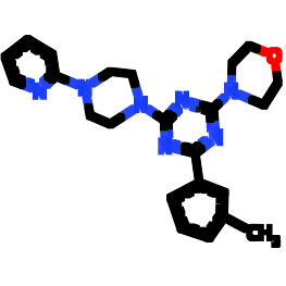 Cc1cccc(-c2nc(N3CCOCC3)nc(N3CCN(c4ccccn4)CC3)n2)c1